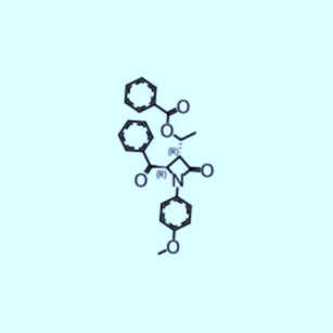 COc1ccc(N2C(=O)[C@@H](C(C)OC(=O)c3ccccc3)[C@@H]2C(=O)c2ccccc2)cc1